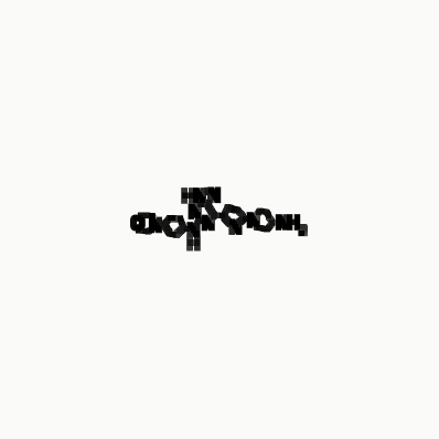 NC1CCN(c2ccc(-c3nc(Nc4ccc(N5CCOCC5)cc4)nc4[nH]cnc34)cn2)CC1